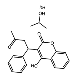 CC(=O)CC(c1ccccc1)c1c(O)c2ccccc2oc1=O.CC(C)O.[KH]